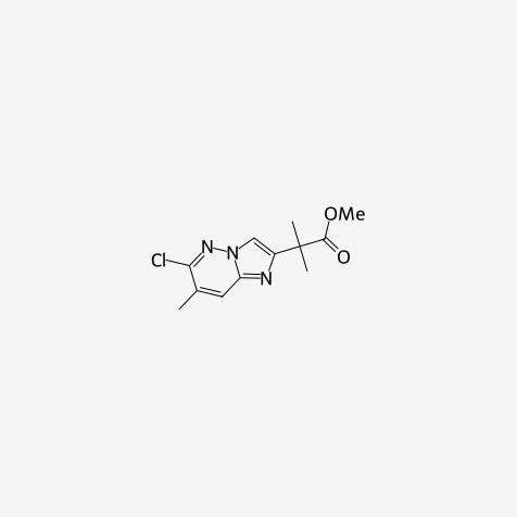 COC(=O)C(C)(C)c1cn2nc(Cl)c(C)cc2n1